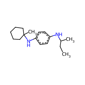 CCC(C)Nc1ccc(NC2(C)CCCCC2)cc1